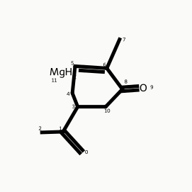 C=C(C)C1CC=C(C)C(=O)C1.[MgH2]